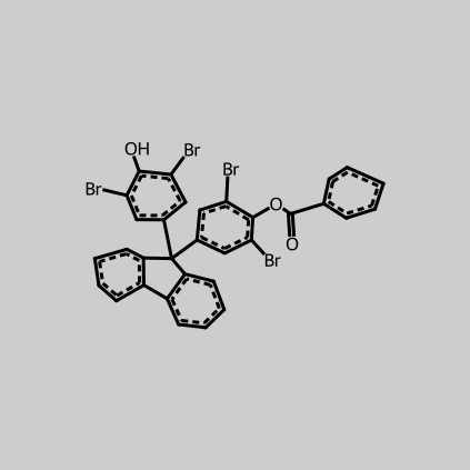 O=C(Oc1c(Br)cc(C2(c3cc(Br)c(O)c(Br)c3)c3ccccc3-c3ccccc32)cc1Br)c1ccccc1